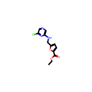 CCOC(=O)c1ccc(CNc2cncc(Cl)n2)o1